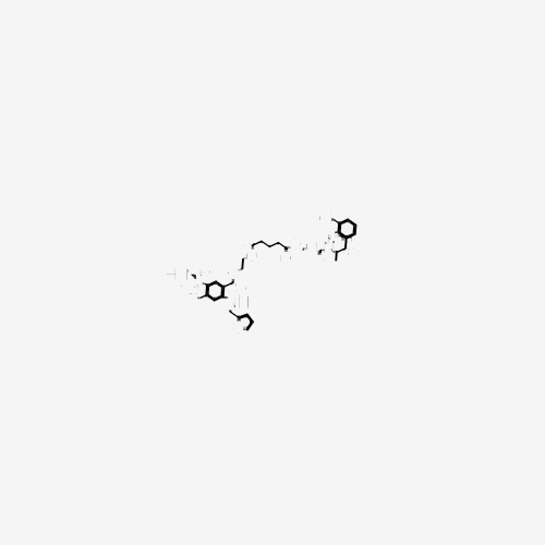 CC(C(=O)c1cccc(Cl)c1)N(C(=O)OCOC(=O)CCCC(=O)OCCOC(=O)c1cc(S(N)(=O)=O)c(Cl)cc1NCc1ccco1)C(C)(C)C